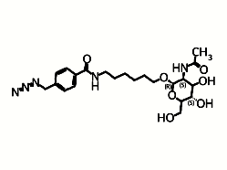 CC(=O)N[C@H]1C(O)[C@H](O)C(CO)O[C@H]1OCCCCCCNC(=O)c1ccc(CN=[N+]=[N-])cc1